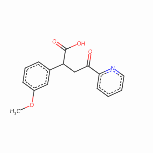 COc1cccc(C(CC(=O)c2ccccn2)C(=O)O)c1